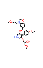 CCOc1ccc([C@@H]2[C@@H](OCc3ccc4c(c3)N(CCCOC)CCO4)CNC[C@H]2OCC(O)COC)cc1